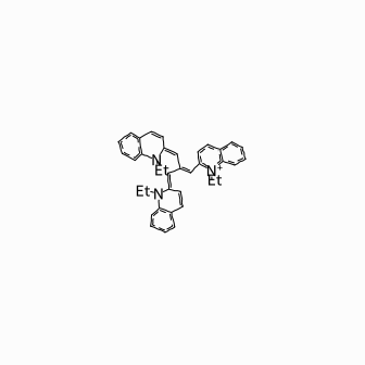 CCN1C(=CC(=Cc2ccc3ccccc3[n+]2CC)C=C2C=Cc3ccccc3N2CC)C=Cc2ccccc21